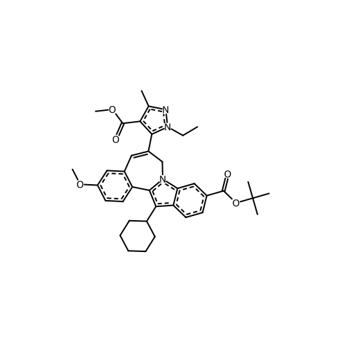 CCn1nc(C)c(C(=O)OC)c1C1=Cc2cc(OC)ccc2-c2c(C3CCCCC3)c3ccc(C(=O)OC(C)(C)C)cc3n2C1